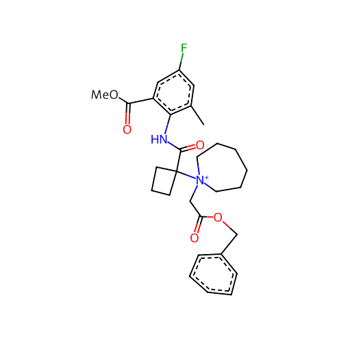 COC(=O)c1cc(F)cc(C)c1NC(=O)C1([N+]2(CC(=O)OCc3ccccc3)CCCCCC2)CCC1